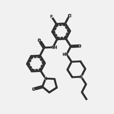 CCCN1CCC(NC(=O)c2cc(Cl)c(F)cc2NC(=O)c2cccc(N3CCCC3=O)c2)CC1